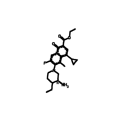 CCOC(=O)c1cc(C2CC2)c2c(C)c(N3CCC(CC)[C@H](N)C3)c(F)cn2c1=O